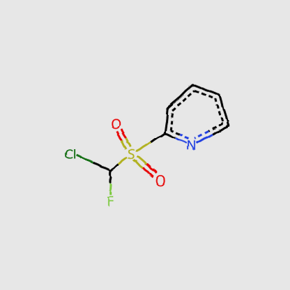 O=S(=O)(c1ccccn1)C(F)Cl